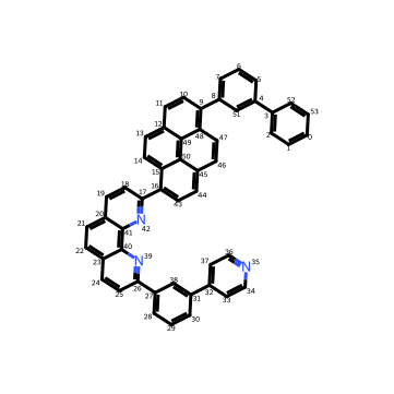 c1ccc(-c2cccc(-c3ccc4ccc5c(-c6ccc7ccc8ccc(-c9cccc(-c%10ccncc%10)c9)nc8c7n6)ccc6ccc3c4c65)c2)cc1